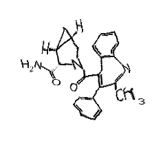 Cc1nc2ccccc2c(C(=O)N2C[C@H]3C[C@H]3[C@H]2C(N)=O)c1-c1ccccc1